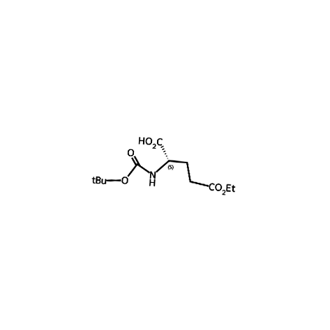 CCOC(=O)CC[C@H](NC(=O)OC(C)(C)C)C(=O)O